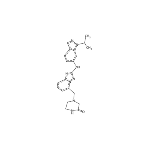 CC(C)n1ncc2ccc(Nc3nc4cccc(CN5CCNC(=O)C5)n4n3)cc21